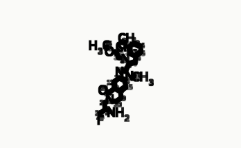 COc1cccc2cc(-c3nc4cc5c(cc4n3C)CCN(CC(N)CF)C5=O)n(CC(C)OC)c12